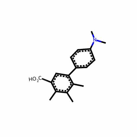 Cc1c(C(=O)O)cc(-c2ccc(N(C)C)cc2)c(C)c1C